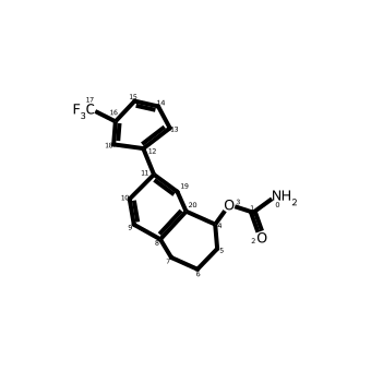 NC(=O)OC1CCCc2ccc(-c3cccc(C(F)(F)F)c3)cc21